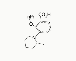 CCCOc1c(C(=O)O)cccc1N1CCCCC1C